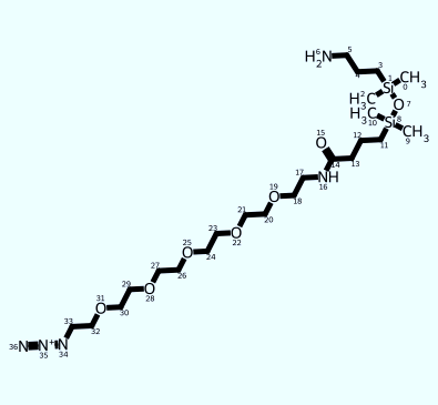 C[Si](C)(CCCN)O[Si](C)(C)CCCC(=O)NCCOCCOCCOCCOCCOCCN=[N+]=[N-]